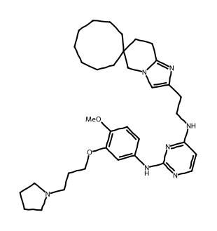 COc1ccc(Nc2nccc(NCCc3cn4c(n3)CCC3(CCCCCCCC3)C4)n2)cc1OCCCN1CCCC1